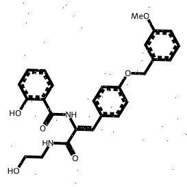 COc1cccc(COc2ccc(/C=C(\NC(=O)c3ccccc3O)C(=O)NCCO)cc2)c1